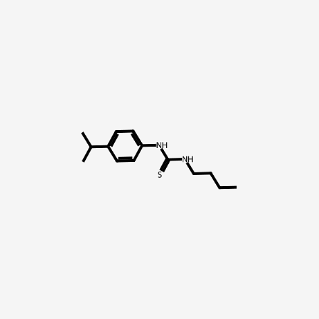 CCCCNC(=S)Nc1ccc(C(C)C)cc1